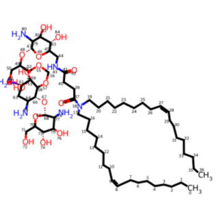 CCCCCCCC/C=C\CCCCCCCCN(CCCCCCCC/C=C\CCCCCCCC)C(=O)CCC(=O)NCC1O[C@H](OC(CO)[C@@H](CO)OCOC2C(O)[C@H](N)CC(N)[C@H]2O[C@H]2OC(CO)[C@@H](O)C(O)C2N)C(N)C(O)[C@@H]1O